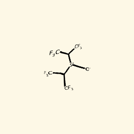 [O-][S+](C(C(F)(F)F)C(F)(F)F)C(C(F)(F)F)C(F)(F)F